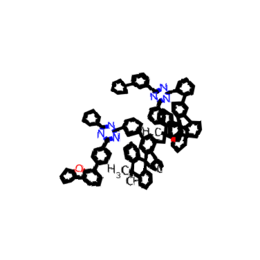 CC1(C)c2ccccc2C2(c3ccccc3-c3c(CC4(C)c5ccccc5C5(c6ccccc6-c6cc(-c7ccccc7-c7nc(-c8cccc(-c9ccccc9)c8)nc(-c8cccc(-c9ccccc9)c8)n7)ccc65)c5ccccc54)cc(-c4cccc(-c5nc(-c6ccccc6)nc(-c6ccc(-c7cccc8c7oc7ccccc78)cc6)n5)c4)cc32)c2ccccc21